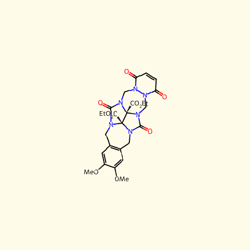 CCOC(=O)[C@]12N3Cc4cc(OC)c(OC)cc4CN1C(=O)N1Cn4c(=O)ccc(=O)n4CN(C3=O)[C@]12C(=O)OCC